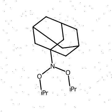 CC(C)ON(OC(C)C)C12CC3CC(CC(C3)C1)C2